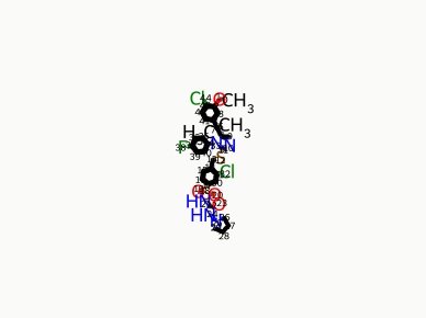 COc1cc(C(C)(C)c2cnc(SCc3ccc(S(=O)(=O)NC(=O)NN4CCCC4)cc3Cl)n2-c2ccc(F)cc2)ccc1Cl